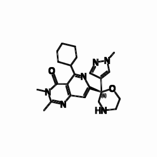 Cc1nc2cc([C@]3(c4cnn(C)c4)CNCCO3)nc(C3CCCCC3)c2c(=O)n1C